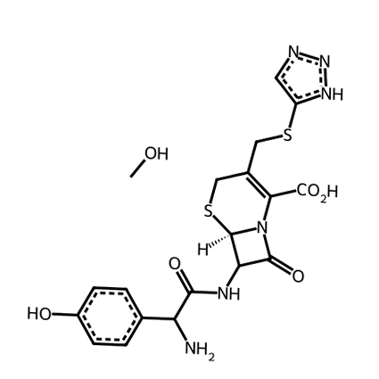 CO.NC(C(=O)NC1C(=O)N2C(C(=O)O)=C(CSc3cnn[nH]3)CS[C@H]12)c1ccc(O)cc1